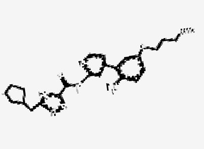 COCCCOc1ccc(C(F)(F)F)c(-c2ccnc(NC(=O)c3nnc(CC4CCCC4)[nH]3)c2)c1